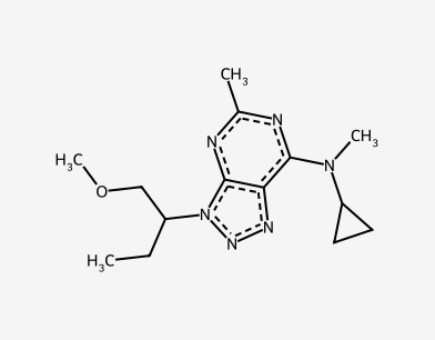 CCC(COC)n1nnc2c(N(C)C3CC3)nc(C)nc21